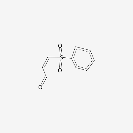 O=C/C=C\S(=O)(=O)c1ccccc1